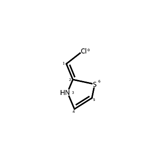 ClC=C1NC=CS1